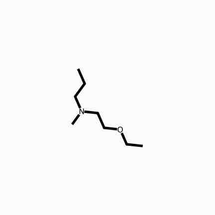 CCCN(C)CCOCC